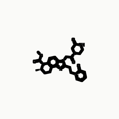 COC(=O)N1c2ccc3c(nc(CCn4ccccc4=O)n3CC(=O)N3CCNC(=O)C3)c2CC[C@@H]1C